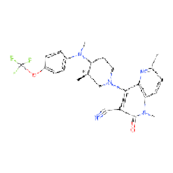 Cc1ccc2c(n1)c(N1CCC(N(C)c3ccc(OC(F)(F)F)cc3)[C@H](C)C1)c(C#N)c(=O)n2C